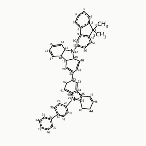 CC1(C)c2ccccc2-c2cc(N3C4C=CC=CC4C4C=C(C5C=c6c7c(n(-c8ccc(-c9ccccc9)cc8)c6=CC5)CCC=C7)C=CC43)ccc21